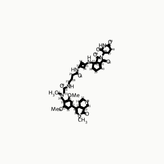 COc1cc(-c2cn(C)c(=O)c3cnccc23)cc(OC)c1CN(C)CC(=O)NCCCC(=O)NC12CC(Nc3cccc4c3C(=O)N(C3CCC(=O)NC3=O)C4=O)(C1)C2